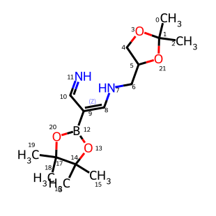 CC1(C)OCC(CN/C=C(\C=N)B2OC(C)(C)C(C)(C)O2)O1